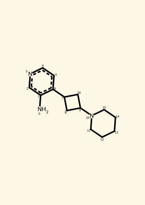 Nc1cnccc1C1[CH]C(N2CCCCC2)C1